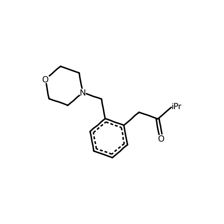 CC(C)C(=O)Cc1ccccc1CN1CCOCC1